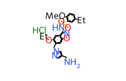 CCOc1cc2c(NS(=O)(=O)c3cc(CC)ccc3OC)noc2cc1Cn1cc(CN)cn1.Cl